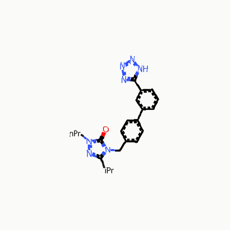 CCCn1nc(C(C)C)n(Cc2ccc(-c3cccc(-c4nnn[nH]4)c3)cc2)c1=O